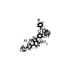 C[C@H](Oc1cc(-c2nn(C)c3c(-c4cnc(N5CCOCC5)nc4)cnc(N)c23)ccc1NS(=O)(=O)C(F)F)c1ccc(F)cc1